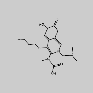 CCCCOC1=C(N(C)C(=O)O)N(CC(C)C)C=C2CC(=O)C(O)C=C21